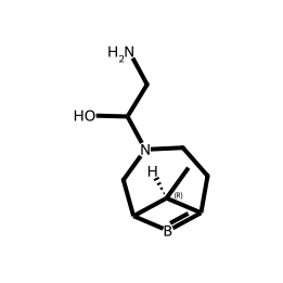 C[C@H]1C2=BC1CN(C(O)CN)CC2